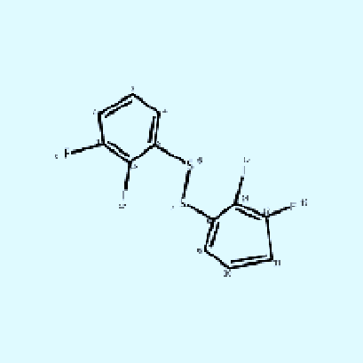 Fc1cccc(SSc2cccc(F)c2I)c1I